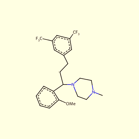 COc1ccccc1C([CH]Cc1cc(C(F)(F)F)cc(C(F)(F)F)c1)N1CCN(C)CC1